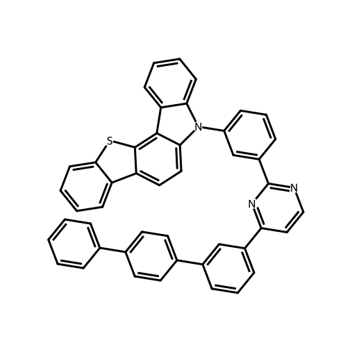 c1ccc(-c2ccc(-c3cccc(-c4ccnc(-c5cccc(-n6c7ccccc7c7c8sc9ccccc9c8ccc76)c5)n4)c3)cc2)cc1